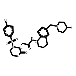 O=C(C[C@@H]1C(=O)NCCN1S(=O)(=O)c1ccc(Cl)cc1)N[C@@H]1CCCc2cc(CN3CCC(F)CC3)ccc21